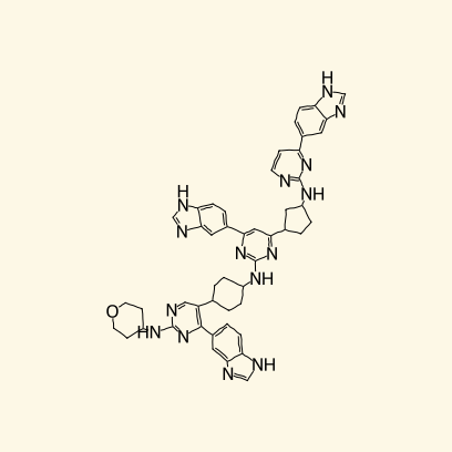 c1cc(-c2ccc3[nH]cnc3c2)nc(NC2CCC(c3cc(-c4ccc5[nH]cnc5c4)nc(NC4CCC(c5cnc(NC6CCOCC6)nc5-c5ccc6[nH]cnc6c5)CC4)n3)C2)n1